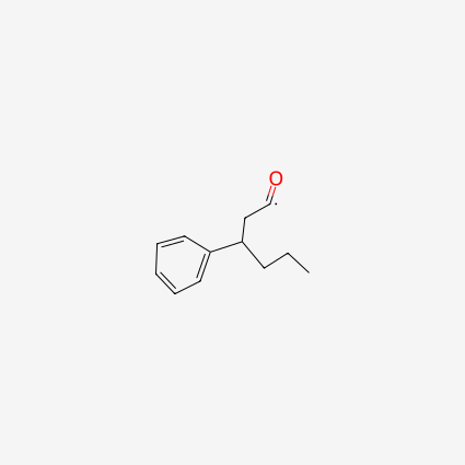 CCCC(C[C]=O)c1ccccc1